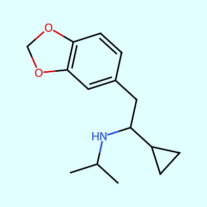 CC(C)NC(Cc1ccc2c(c1)OCO2)C1CC1